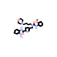 COc1ccccc1NC(=O)N(CCCCN1CCOCC1)Cc1ccc(C(=O)Nc2ccccc2N)nc1